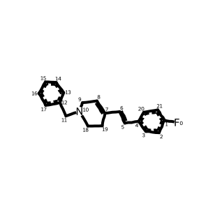 Fc1ccc(C=CC2=CCN(Cc3ccccc3)CC2)cc1